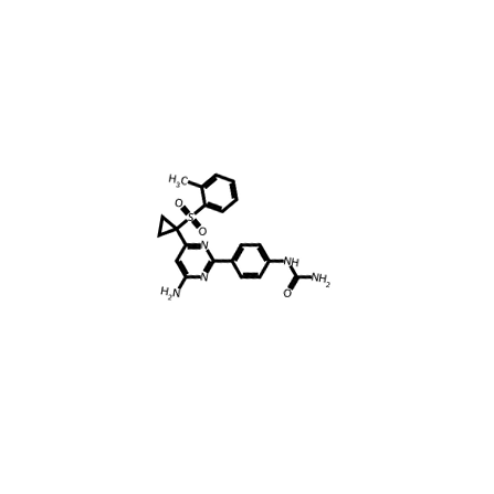 Cc1ccccc1S(=O)(=O)C1(c2cc(N)nc(-c3ccc(NC(N)=O)cc3)n2)CC1